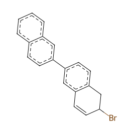 BrC1C=Cc2cc(-c3ccc4ccccc4c3)ccc2C1